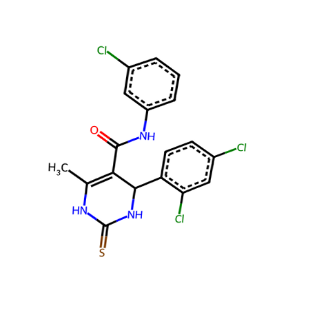 CC1=C(C(=O)Nc2cccc(Cl)c2)C(c2ccc(Cl)cc2Cl)NC(=S)N1